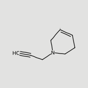 C#CCN1C[C]=CCC1